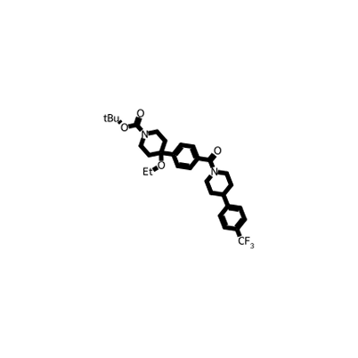 CCOC1(c2ccc(C(=O)N3CCC(c4ccc(C(F)(F)F)cc4)CC3)cc2)CCN(C(=O)OC(C)(C)C)CC1